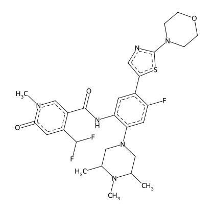 CC1CN(c2cc(F)c(-c3cnc(N4CCOCC4)s3)cc2NC(=O)c2cn(C)c(=O)cc2C(F)F)CC(C)N1C